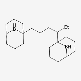 CCC(CCCC12BC(CCC1)CCC2)C12BC(CCC1)CCC2